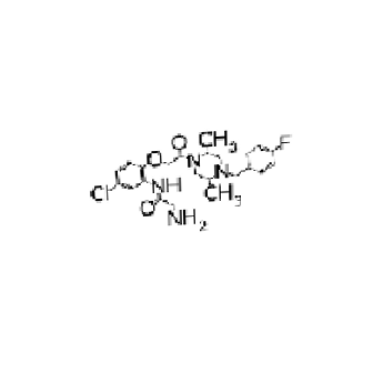 C[C@@H]1CN(Cc2ccc(F)cc2)[C@@H](C)CN1C(=O)COc1ccc(Cl)cc1NC(=O)CN